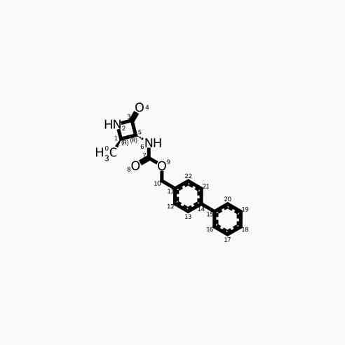 C[C@H]1NC(=O)[C@@H]1NC(=O)OCc1ccc(-c2ccccc2)cc1